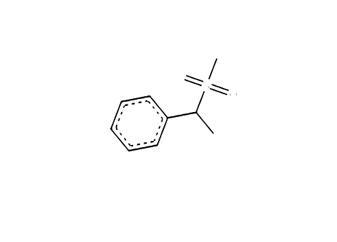 CC(c1c[c]ccc1)S(C)(=O)=O